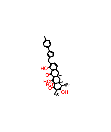 CC(=O)C1=C(O)C(C(C)C)[C@@]2(C)C[C@@]3(C)Cc4ccc(CC5=CC(c6ccc(C)cc6)=CC5)c(O)c4C(=O)C3=C(O)[C@@]2(O)C1=O